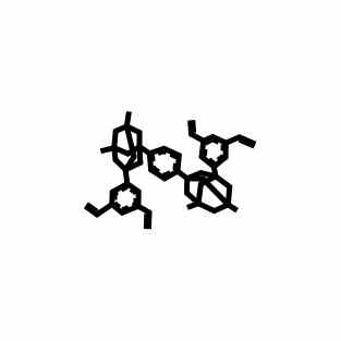 C=Cc1cc(C=C)cc(C23CC4(C)CC(C)(CC(c5ccc(C67CC8(C)CC(C)(C6)CC(c6cc(C=C)cc(C=C)c6)(C8)C7)cc5)(C4)C2)C3)c1